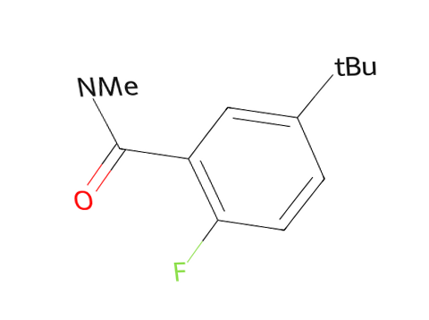 CNC(=O)c1cc(C(C)(C)C)ccc1F